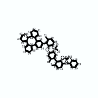 Cc1cc2c(cc1-c1c(C)ccc3c1oc1nc4ccccc4n13)[Si](C)(C)c1ccc(C)c(-c3ccc4c(c3)-c3ccccc3-c3ncccc3-c3ccccc3-4)c1O2